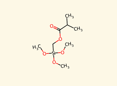 CO[Si](COC(=O)C(C)C)(OC)OC